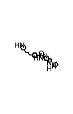 CN1CCC[C@@H]1c1cc2cnc(NC(=O)c3ccc(CCCC4CCNCC4)cc3)cc2[nH]1